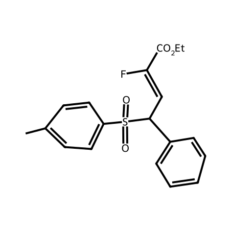 CCOC(=O)/C(F)=C/C(c1ccccc1)S(=O)(=O)c1ccc(C)cc1